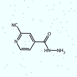 N#Cc1cc(C(=O)NN)ccn1